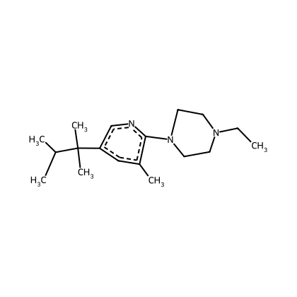 CCN1CCN(c2ncc(C(C)(C)C(C)C)cc2C)CC1